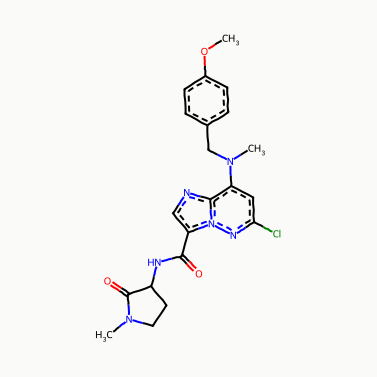 COc1ccc(CN(C)c2cc(Cl)nn3c(C(=O)NC4CCN(C)C4=O)cnc23)cc1